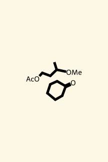 COC(C)CCOC(C)=O.O=C1CCCCC1